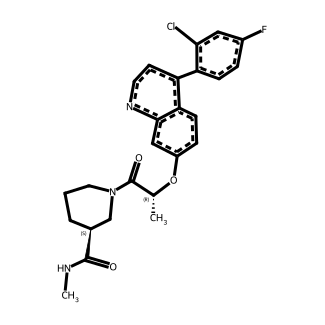 CNC(=O)[C@H]1CCCN(C(=O)[C@@H](C)Oc2ccc3c(-c4ccc(F)cc4Cl)ccnc3c2)C1